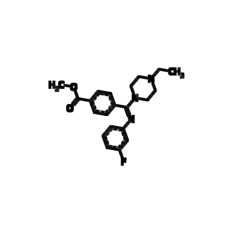 CCN1CCN(C(=Nc2cccc(F)c2)c2ccc(C(=O)OC)cc2)CC1